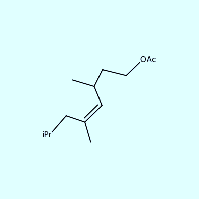 CC(=O)OCCC(C)C=C(C)CC(C)C